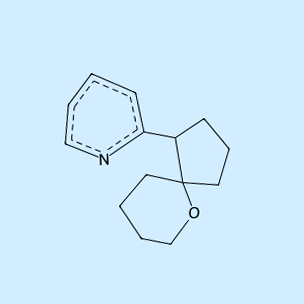 c1ccc(C2CCCC23CCCCO3)nc1